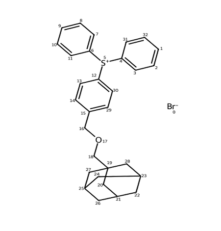 [Br-].c1ccc([S+](c2ccccc2)c2ccc(COCC34CC5CC(CC(C5)C3)C4)cc2)cc1